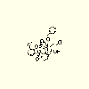 COc1cccc(OC)c1OP(=S)(CN(C(=O)OCc1ccccc1)C(CCCl)C(=O)O)Oc1c(OC)cccc1OC